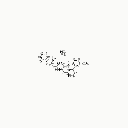 CC(=O)Oc1ccc(CN2C(=O)C(NC(=O)C[C@H](N)Cc3ccccc3F)Cc3ncccc32)cc1.Cl.Cl